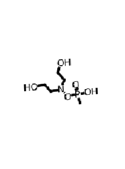 CP(=O)(O)ON(CCO)CCO